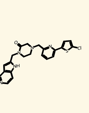 O=C1CN(Cc2cccc(-c3ccc(Cl)s3)n2)CCN1Cc1cc2cnccc2[nH]1